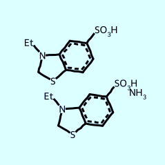 CCN1CSc2ccc(S(=O)(=O)O)cc21.CCN1CSc2ccc(S(=O)(=O)O)cc21.N